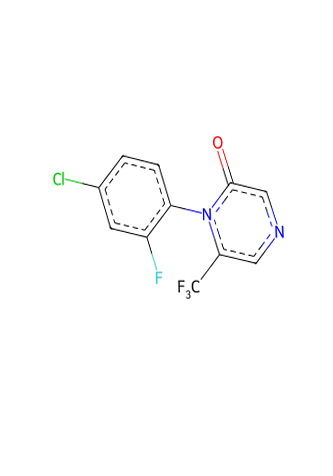 O=c1cncc(C(F)(F)F)n1-c1ccc(Cl)cc1F